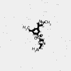 CCc1cc(-c2cnn(C)c2)cc(S(=O)(=O)c2cnc(CN)s2)c1